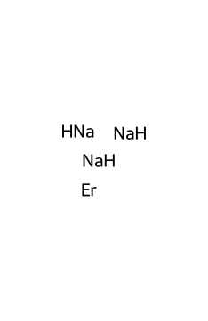 [Er].[NaH].[NaH].[NaH]